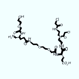 NC[C@H](CCC(=O)NCCOCCOCC(=O)N[C@@H](CCC(=O)O)C(=O)NCCN(CCNC(=O)CCl)C(=O)CCl)NC(=O)COCCO